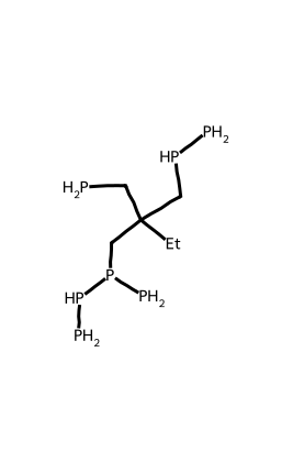 CCC(CP)(CPP)CP(P)PP